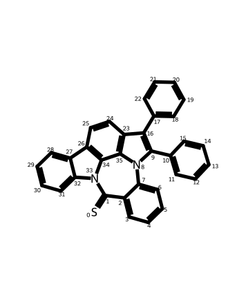 S=c1c2ccccc2n2c(-c3ccccc3)c(-c3ccccc3)c3ccc4c5ccccc5n1c4c32